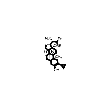 CCC(O)[C@@H](C)[C@H]1CC[C@H]2[C@@H]3CCC4CC(O)=C(C5CC5)C[C@]4(C)[C@H]3CC[C@]12C